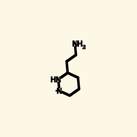 NCCC1CCC[N]N1